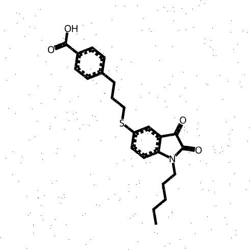 CCCCCN1C(=O)C(=O)c2cc(SCCCc3ccc(C(=O)O)cc3)ccc21